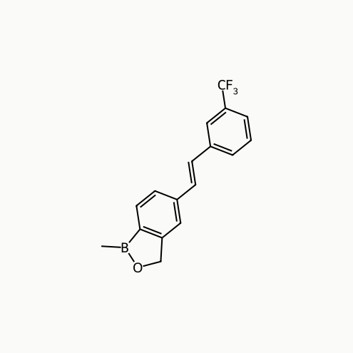 CB1OCc2cc(/C=C/c3cccc(C(F)(F)F)c3)ccc21